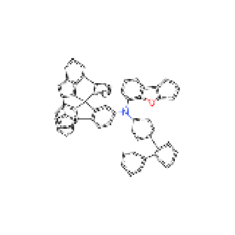 c1ccc(-c2ccccc2-c2ccc(N(c3ccc4c(c3)C3(c5ccccc5-4)c4ccccc4-c4cccc5ccc(-c6ccccc6)c3c45)c3cccc4c3oc3ccccc34)cc2)cc1